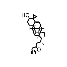 CC(C)CC(=O)C[C@@H](C)[C@H]1CC[C@H]2[C@@H]3CC=C4C5(CC5)[C@@H](O)CC[C@]4(C)[C@H]3CC[C@]12C